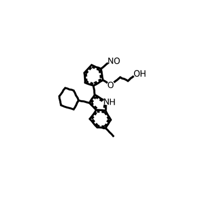 Cc1ccc2c(C3CCCCC3)c(-c3cccc(N=O)c3OCCO)[nH]c2c1